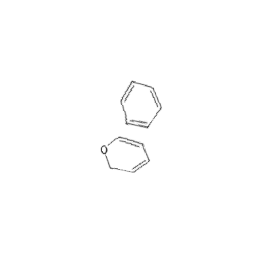 C1=CCOC=C1.c1ccccc1